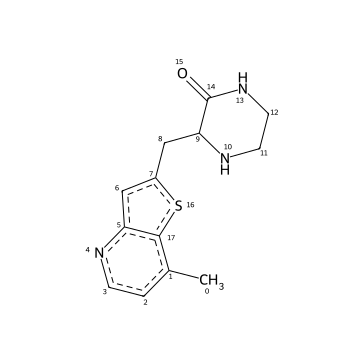 Cc1ccnc2cc(CC3NCCNC3=O)sc12